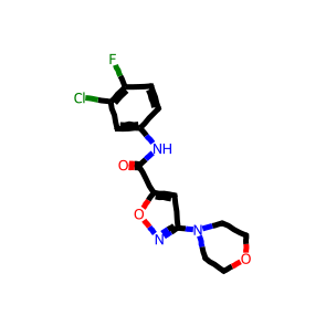 O=C(Nc1ccc(F)c(Cl)c1)c1cc(N2CCOCC2)no1